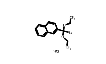 CCC(OCC(F)(F)F)(OCC(F)(F)F)c1ccc2ccccc2c1.Cl